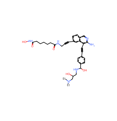 CCN(CC)CC(O)CNC(O)c1ccc(C#Cc2c(N)ncc3ccc(C#CCNC(=O)CCCCCC(=O)NO)cc23)cc1